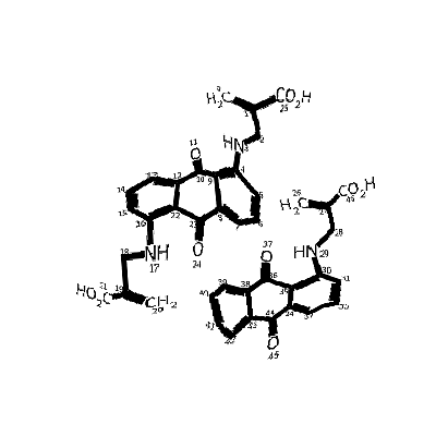 C=C(CNc1cccc2c1C(=O)c1cccc(NCC(=C)C(=O)O)c1C2=O)C(=O)O.C=C(CNc1cccc2c1C(=O)c1ccccc1C2=O)C(=O)O